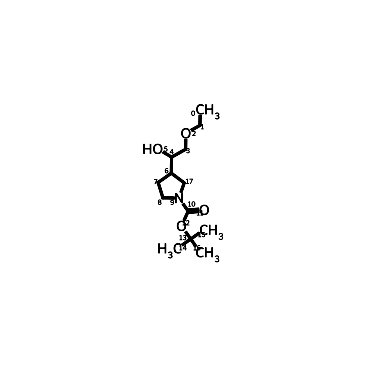 CCOCC(O)C1CCN(C(=O)OC(C)(C)C)C1